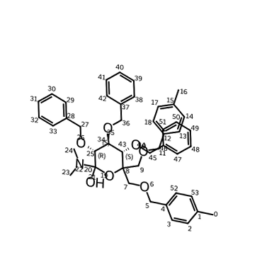 Cc1ccc(COCC2(COCc3ccc(C)cc3)OC(O)(N(C)C)[C@H](OCc3ccccc3)[C@@H](OCc3ccccc3)[C@@H]2OCc2ccccc2)cc1